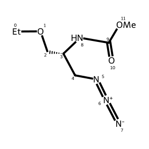 CCOC[C@@H](CN=[N+]=[N-])NC(=O)OC